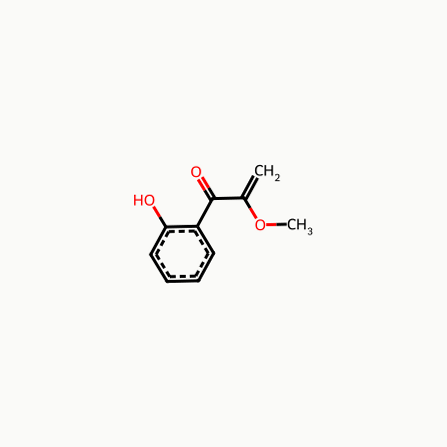 C=C(OC)C(=O)c1ccccc1O